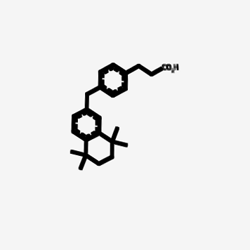 CC1(C)CCC(C)(C)c2cc(Cc3ccc(CCC(=O)O)cc3)ccc21